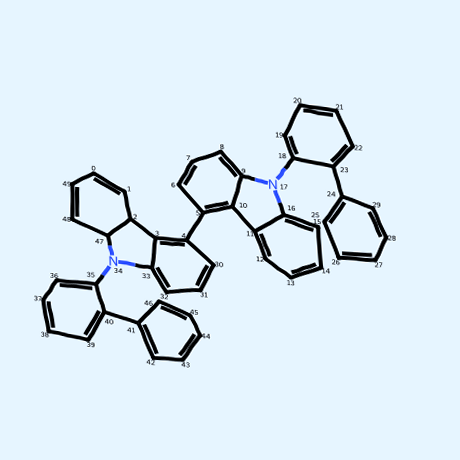 C1=CC2c3c(-c4cccc5c4c4ccccc4n5-c4ccccc4-c4ccccc4)cccc3N(c3ccccc3-c3ccccc3)C2C=C1